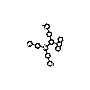 Cc1cccc(-c2ccc(-c3cc(-c4nc(-c5ccc(-c6cccnc6)cc5)nc(-c5ccc(-c6cccnc6)cc5)n4)cc(-c4c5ccccc5cc5ccccc45)c3)cc2)n1